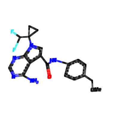 COCc1ccc(NC(=O)c2cn(C3(C(F)F)CC3)c3ncnc(N)c23)cc1